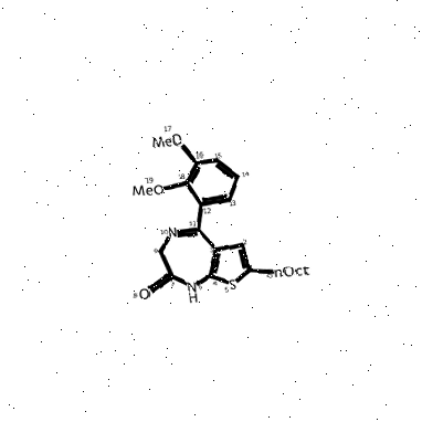 CCCCCCCCc1cc2c(s1)NC(=O)CN=C2c1cccc(OC)c1OC